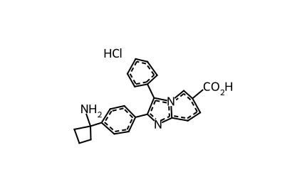 Cl.NC1(c2ccc(-c3nc4ccc(C(=O)O)cn4c3-c3ccccc3)cc2)CCC1